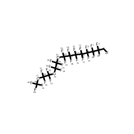 FCC(F)(F)C(F)(F)C(F)(F)C(F)(F)C(F)(F)C(F)(F)C(F)(F)OC(F)(F)C(F)(F)OC(F)(F)C(F)(F)OC(F)(F)F